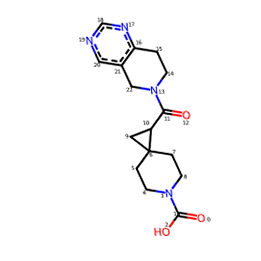 O=C(O)N1CCC2(CC1)CC2C(=O)N1CCc2ncncc2C1